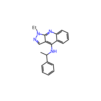 CCn1ncc2c(NC(C)c3ccccc3)c3ccccc3nc21